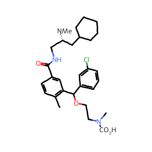 CN[C@@H](CNC(=O)c1ccc(C)c(C(OCCN(C)C(=O)O)c2cccc(Cl)c2)c1)CC1CCCCC1